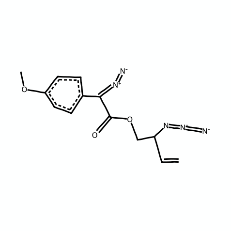 C=CC(COC(=O)C(=[N+]=[N-])c1ccc(OC)cc1)N=[N+]=[N-]